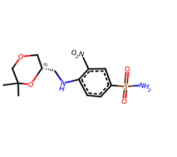 CC1(C)COC[C@H](CNc2ccc(S(N)(=O)=O)cc2[N+](=O)[O-])O1